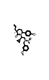 C=CC[C@@]1(C)CCC(c2ccc(Cl)cc2)N(C(CN(Cc2cccc(OC)c2)[S+](C)[O-])C2CC2)C1=O